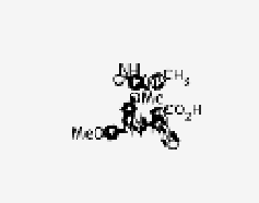 CN1CCN(C(=O)c2ccc(C(N)=O)cc2)CC1.COc1ccc(CN(Cc2ccc(OC)cc2)c2ncc(-c3nc(N4CCOCC4)nc4c3CCN4C(=O)O)cn2)cc1